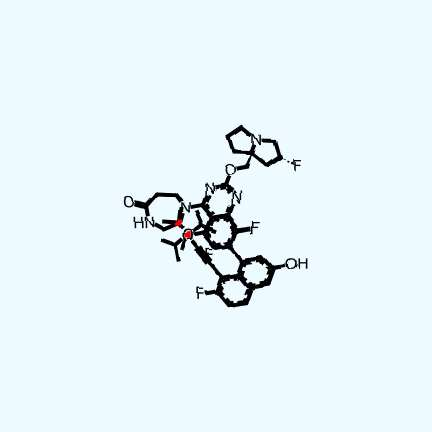 COc1c(F)c(-c2cc(O)cc3ccc(F)c(C#C[Si](C(C)C)(C(C)C)C(C)C)c23)c(F)c2nc(OC[C@@]34CCCN3C[C@H](F)C4)nc(N3CCNC(=O)CC3)c12